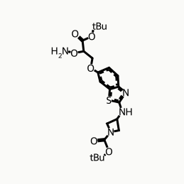 CC(C)(C)OC(=O)C(COc1ccc2nc(NC3CN(C(=O)OC(C)(C)C)C3)sc2c1)ON